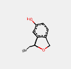 CC(C)(C)C1OCc2ccc(O)cc21